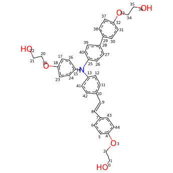 OCCOc1ccc(C=Cc2ccc(N(c3ccc(OCCO)cc3)c3ccc(-c4ccc(OCCO)cc4)cc3)cc2)cc1